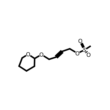 CS(=O)(=O)OCC#CCOC1CCCCO1